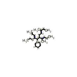 C=C/C=C(\SCC)C(C(C/C=C(\C)C=C)/C(C)=C/N=C)N1CCCCC1